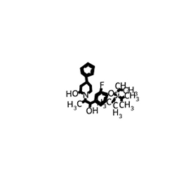 CC(C(O)c1ccc(O[Si](C(C)C)(C(C)C)C(C)C)c(F)c1)N1CCC(c2ccccc2)CC1O